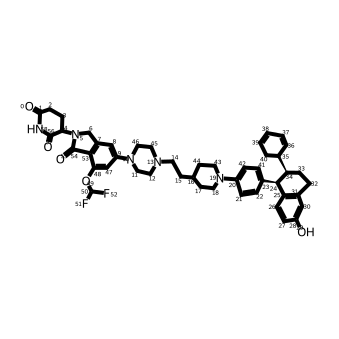 O=C1CCC(N2Cc3cc(N4CCN(CCC5CCN(c6ccc([C@@H]7c8ccc(O)cc8CC[C@@H]7C7C=CC=CC7)cc6)CC5)CC4)cc(OC(F)F)c3C2=O)C(=O)N1